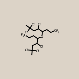 CC(Cl)(Cl)CC(Cl)C(CCC(F)(F)F)OC(CCC(F)(F)F)C(Cl)CC(C)(Cl)Cl